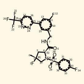 C[C@@]1(F)C[C@@H](C(=O)NCc2cc(F)cc(-c3ccc(C(F)(F)F)nn3)c2)N(S(=O)(=O)c2ccc(F)cc2)C1